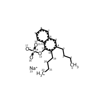 CCCCc1cc2ccccc2c(OS(=O)(=O)[O-])c1CCCC.[Na+]